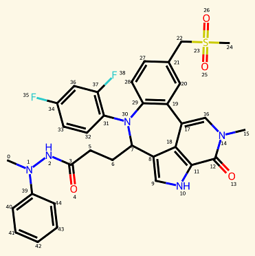 CN(NC(=O)CCC1c2c[nH]c3c(=O)n(C)cc(c23)-c2cc(CS(C)(=O)=O)ccc2N1c1ccc(F)cc1F)c1ccccc1